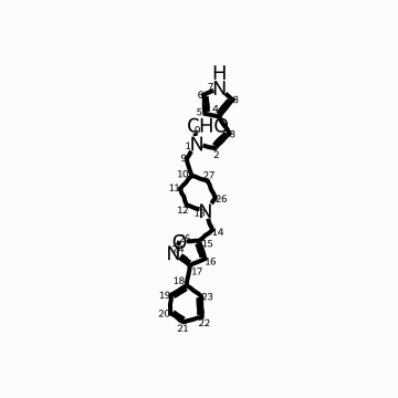 O=CN(/C=C\c1cc[nH]c1)CC1CCN(Cc2cc(-c3ccccc3)no2)CC1